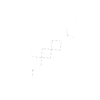 CCC(=O)CC1(CC=O)CC2(CN(C(=O)OC(C)(C)C)C2)C1